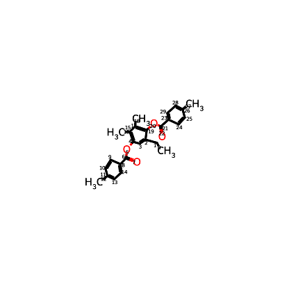 CCc1cc(OC(=O)c2ccc(C)cc2)c(C)c(C)c1OC(=O)c1ccc(C)cc1